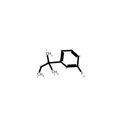 CCC(C)(C)c1cccc(F)c1